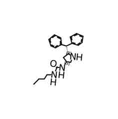 CCCCNC(=O)N[C@@H]1CN[C@@H](C(c2ccccc2)c2ccccc2)C1